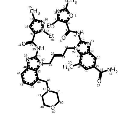 CCc1nc(C)oc1C(=O)Nc1nc2cc(C(N)=O)cc(C)c2n1C/C=C/Cn1c(NC(=O)c2cc(C)nn2CC)nc2cccc(CN3CCOCC3)c21